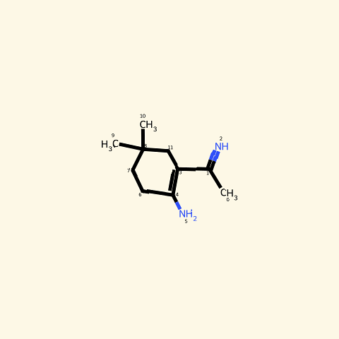 CC(=N)C1=C(N)CCC(C)(C)C1